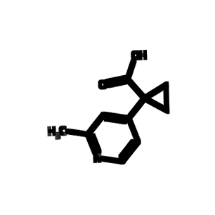 Cc1cc(C2(C(=O)O)CC2)ccn1